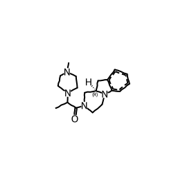 CC(C(=O)N1CCN2c3ccccc3C[C@@H]2C1)N1CCN(C)CC1